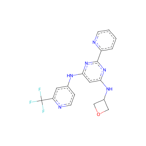 FC(F)(F)c1cc(Nc2cc(NC3COC3)nc(-c3ccccn3)n2)ccn1